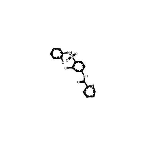 O=C(Nc1ccc(S(=O)(=O)Nc2ccccc2Cl)c(Cl)c1)c1ccccn1